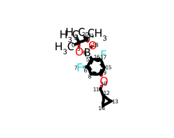 CC1(C)OB(c2c(F)cc(OCC3CC3)cc2F)OC1(C)C